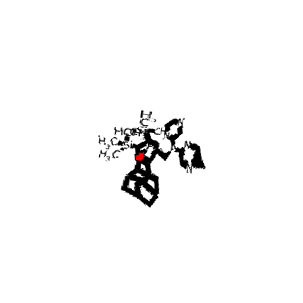 C[Si](C)(C)c1cc(CP(c2cnccn2)c2cnccn2)c(C23CC4CC(CC(C4)C2CP)C3)cc1[Si](C)(C)C